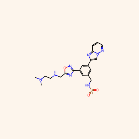 CN(C)CCNCc1nc(-c2cc(CN[SH](=O)=O)cc(-c3cn4ncccc4n3)c2)no1